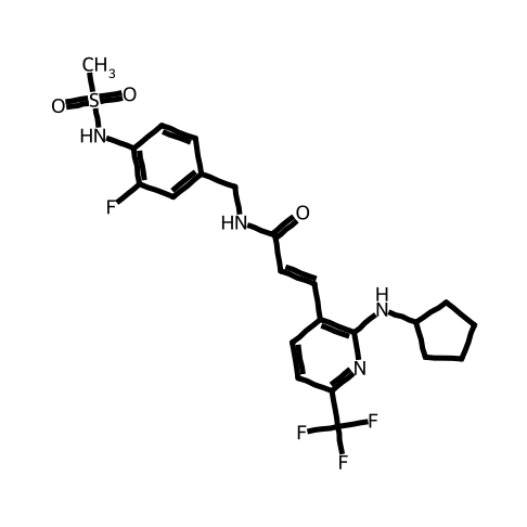 CS(=O)(=O)Nc1ccc(CNC(=O)C=Cc2ccc(C(F)(F)F)nc2NC2CCCC2)cc1F